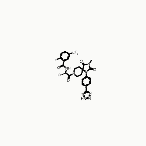 CC(C)[C@@H](NC(=O)c1cc(C(F)(F)F)ccc1F)C(=O)N1CCC2(CC1)C(=O)N(C)C(=O)N2c1ccc(-c2nn[nH]n2)cc1